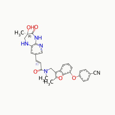 Cc1oc2c(Oc3ccc(C#N)cc3)cccc2c1CN(C)C(=O)/C=C/c1cnc2c(c1)NC[C@@](C)(O)C(=O)N2